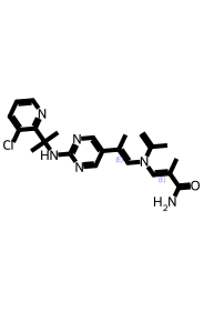 C=C(C)N(/C=C(\C)C(N)=O)/C=C(\C)c1cnc(NC(C)(C)c2ncccc2Cl)nc1